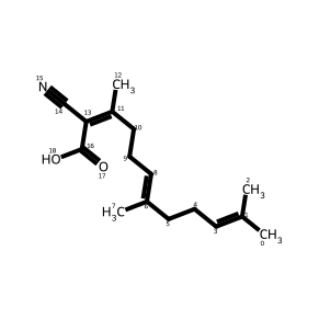 CC(C)=CCCC(C)=CCCC(C)=C(C#N)C(=O)O